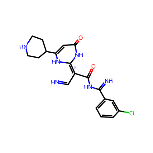 N=C/C(C(=O)NC(=N)c1cccc(Cl)c1)=C1/NC(=O)C=C(C2CCNCC2)N1